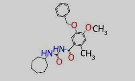 COc1cc(C)c(C(=O)NC(=O)NC2CCCCCC2)cc1OCc1ccccc1